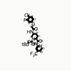 CC(C)(C)OC(=O)N1CC(NC(=O)COc2ccc(Cl)c(F)c2)CC[C@H]1C(=O)Nc1cc(C(F)(F)F)ccn1